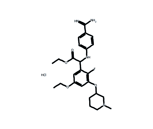 CCOC(=O)C(Nc1ccc(C(=N)N)cc1)c1cc(OCC)cc(OC2CCCN(C)C2)c1F.Cl